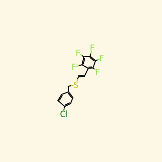 Fc1c(F)c(F)c(C=CSCc2ccc(Cl)cc2)c(F)c1F